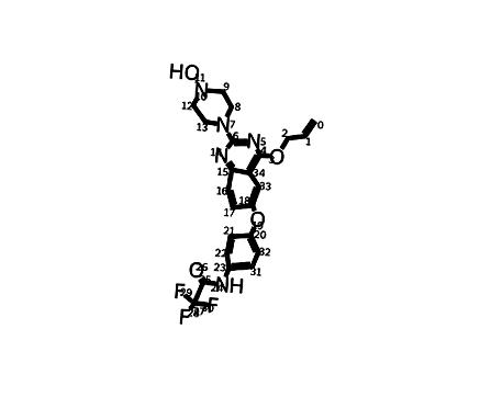 C=CCOc1nc(N2CCN(O)CC2)nc2ccc(Oc3ccc(NC(=O)C(F)(F)F)cc3)cc12